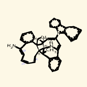 CCC1(CC)c2ccccc2/C(N)=C/C=C\C=C\[C@]12C1(C)c3ccccc3C3=CC(n4c5ccccc5c5ccccc54)=CC(C)[C@@]12N3